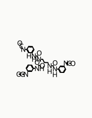 O=C=Nc1cccc(NC(=O)NCC(CNC(=O)Nc2cccc(N=C=O)c2)OC(=O)Nc2cccc(N=C=O)c2)c1